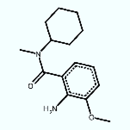 COc1cccc(C(=O)N(C)C2CCCCC2)c1N